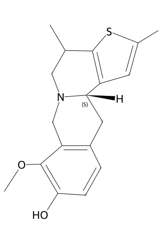 COc1c(O)ccc2c1CN1CC(C)c3sc(C)cc3[C@@H]1C2